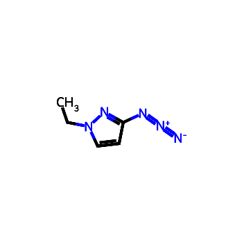 CCn1ccc(N=[N+]=[N-])n1